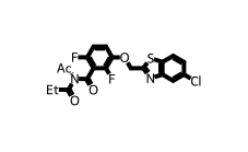 CCC(=O)N(C(C)=O)C(=O)c1c(F)ccc(OCc2nc3cc(Cl)ccc3s2)c1F